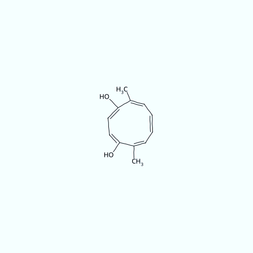 Cc1ccccc(C)c(O)ccc1O